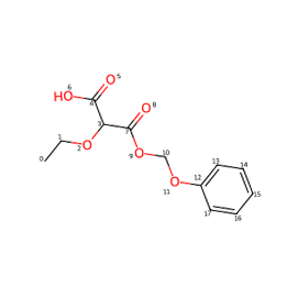 CCOC(C(=O)O)C(=O)OCOc1ccccc1